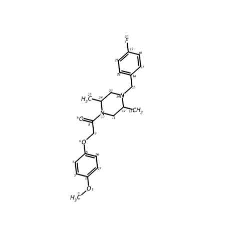 COc1ccc(OCC(=O)N2CC(C)N(Cc3ccc(F)cc3)CC2C)cc1